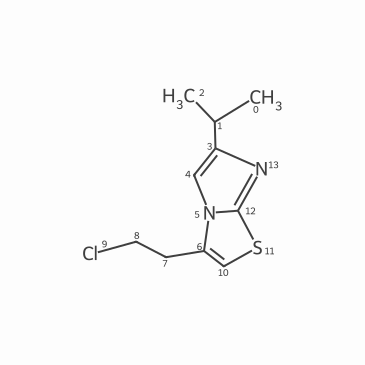 CC(C)c1cn2c(CCCl)csc2n1